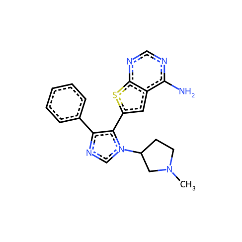 CN1CCC(n2cnc(-c3ccccc3)c2-c2cc3c(N)ncnc3s2)C1